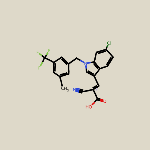 Cc1cc(Cn2cc(/C=C(\C#N)C(=O)O)c3ccc(Cl)cc32)cc(C(F)(F)F)c1